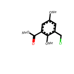 COC(=O)c1cc(OC)cc(CCl)c1OC